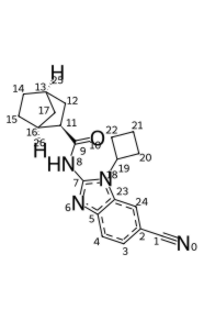 N#Cc1ccc2nc(NC(=O)[C@@H]3C[C@@H]4CC[C@H]3C4)n(C3CCC3)c2c1